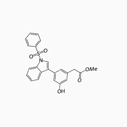 COC(=O)Cc1cc(O)cc(-c2cn(S(=O)(=O)c3ccccc3)c3ccccc23)c1